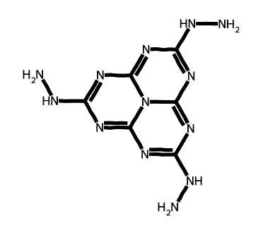 NNC1=NC2=NC(NN)=NC3=NC(NN)=NC(=N1)N23